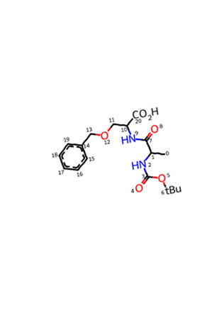 CC(NC(=O)OC(C)(C)C)C(=O)NC(COCc1ccccc1)C(=O)O